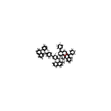 c1ccc(-c2ccc(NN(c3ccc(-c4ccccc4)c4ccccc34)N(c3ccc(-c4ccc(N(c5ccccc5)c5cccc6ccccc56)cc4)cc3)c3cccc4ccccc34)c3ccccc23)cc1